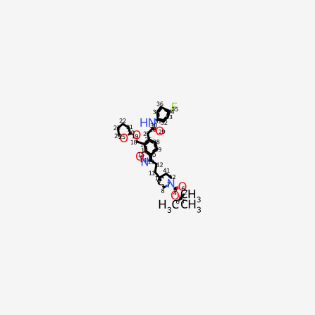 CC(C)(C)OC(=O)N1CCC(CCc2noc3c(COC4CCCCO4)c(CC(=O)Nc4ccc(F)cc4)ccc23)CC1